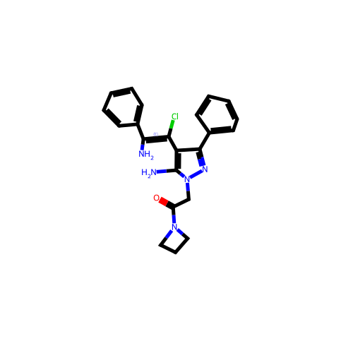 N/C(=C(/Cl)c1c(-c2ccccc2)nn(CC(=O)N2CCC2)c1N)c1ccccc1